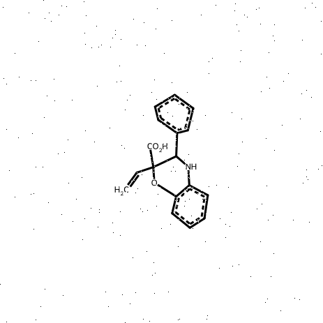 C=CC1(C(=O)O)Oc2ccccc2NC1c1ccccc1